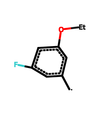 [CH2]c1cc(F)cc(OCC)c1